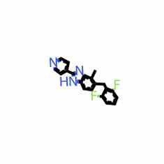 Cc1c(Cc2c(F)cccc2F)ccc2[nH]c(-c3ccncc3)nc12